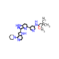 CC(C)(C)CC(=O)Nc1cncc(-c2ccc3[nH]nc(-c4cc5c(N6CCCCC6)nccc5[nH]4)c3n2)c1